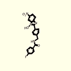 O=C(NCc1ccc(-c2nc3ccc([N+](=O)[O-])cc3n2O)cc1)c1ccc(F)cc1